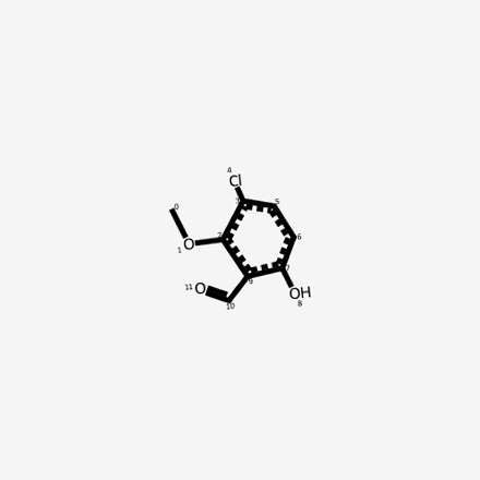 COc1c(Cl)ccc(O)c1C=O